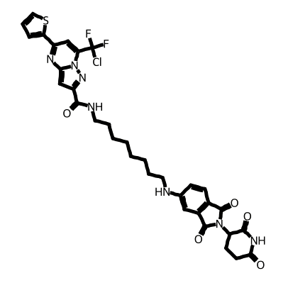 O=C1CCC(N2C(=O)c3ccc(NCCCCCCCCNC(=O)c4cc5nc(-c6cccs6)cc(C(F)(F)Cl)n5n4)cc3C2=O)C(=O)N1